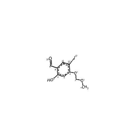 COCOc1cc(O)c(C=O)cc1I